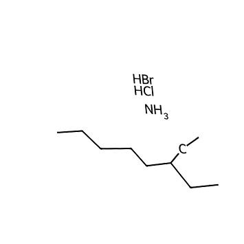 Br.CCCCCC(CC)CC.Cl.N